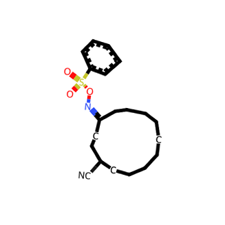 N#CC1CCCCCCCCCC(=NOS(=O)(=O)c2ccccc2)CC1